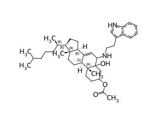 CC(=O)OC1CC[C@]2(C)[C@H]3CC[C@]4(C)[C@@H]([C@H](C)CCCC(C)C)CC[C@H]4C3=CC(NCCc3c[nH]c4ccccc34)C2(O)C1